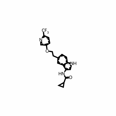 O=C(Nc1c[nH]c2ccc(CCOc3ccc(C(F)(F)F)nc3)cc12)C1CC1